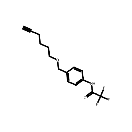 C#CCCCCOCc1ccc(NC(=O)C(F)(F)F)cc1